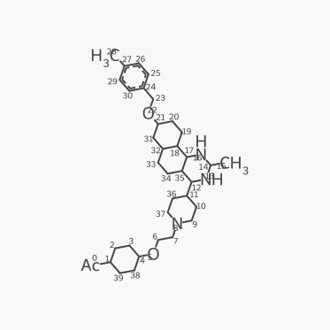 CC(=O)C1CCC(OCCN2CCC(C3NC(C)NC4C5CCC(OCc6ccc(C)cc6)CC5CCC34)CC2)CC1